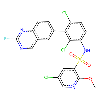 COc1ncc(Cl)cc1S(=O)(=O)Nc1ccc(Cl)c(-c2ccc3nc(F)ncc3c2)c1Cl